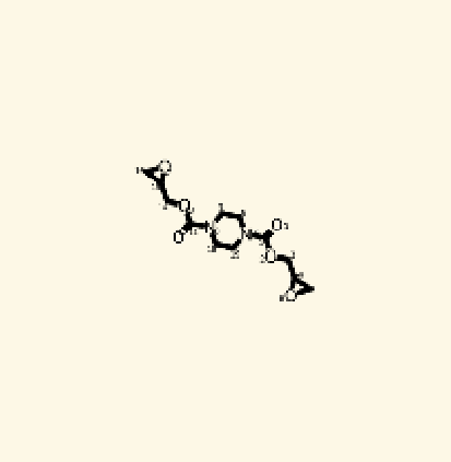 O=C(OCC1CO1)N1CCN(C(=O)OCC2CO2)CC1